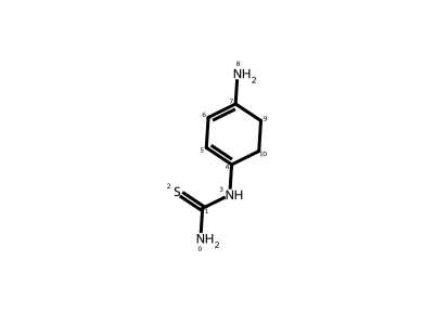 NC(=S)NC1=CC=C(N)CC1